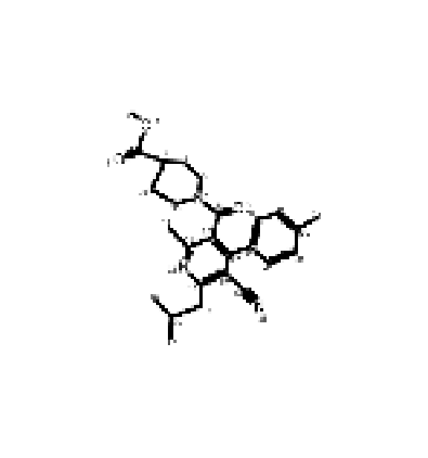 COC(=O)C1CCN(C(=O)c2c(C)nc(CC(C)C)c(C#N)c2-c2ccc(C)cc2)CC1